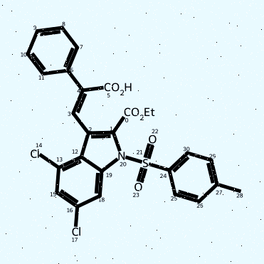 CCOC(=O)c1c(C=C(C(=O)O)c2ccccc2)c2c(Cl)cc(Cl)cc2n1S(=O)(=O)c1ccc(C)cc1